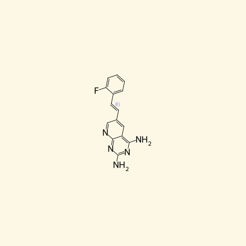 Nc1nc(N)c2cc(/C=C/c3ccccc3F)cnc2n1